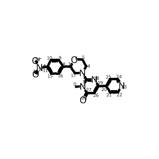 Cn1c(N2CCOC(c3ccc([N+](=O)[O-])cc3)C2)nc(-c2ccncc2)cc1=O